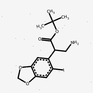 CC(C)(C)OC(=O)C(CN)c1cc2c(cc1I)OCO2